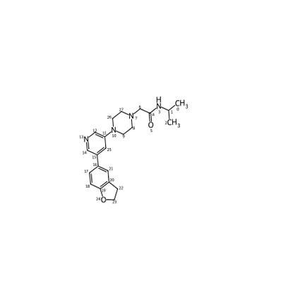 CC(C)NC(=O)CN1CCN(c2cncc(-c3ccc4c(c3)CCO4)c2)CC1